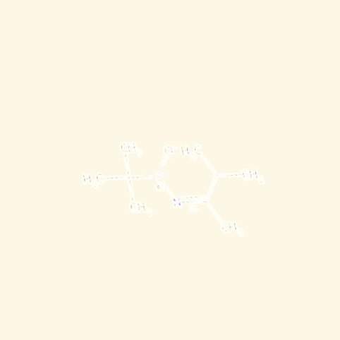 C/C(=N/[S@@+]([O-])C(C)(C)C)C(C)C